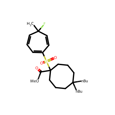 CCCCC1(CCCC)CCCC(C(=O)OC)(S(=O)(=O)C2=CC=CC(C)(F)C=C2)CCC1